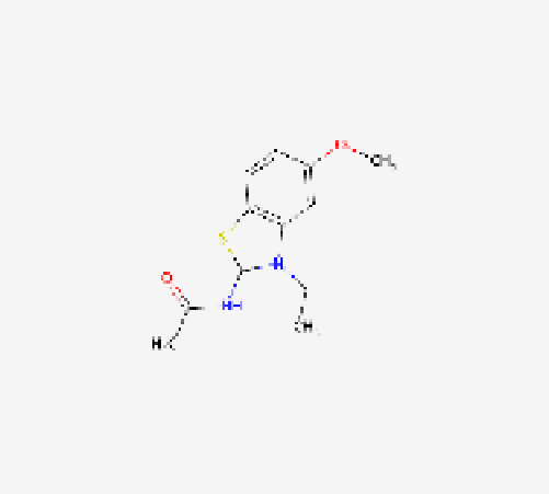 CCN1c2cc(OC)ccc2SC1NC(C)=O